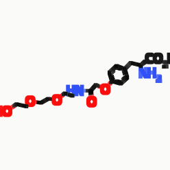 N[C@@H](Cc1ccc(OCC(=O)NCCOCCOCCO)cc1)C(=O)O